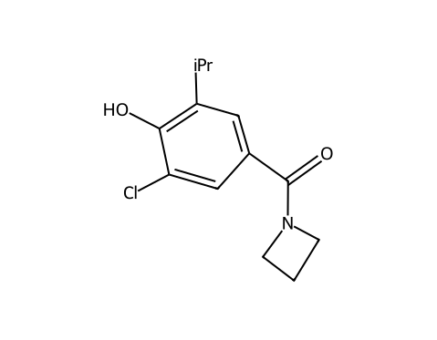 CC(C)c1cc(C(=O)N2CCC2)cc(Cl)c1O